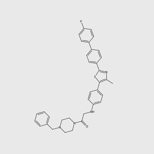 Cc1nc(-c2ccc(-c3ccc(F)cc3)cc2)sc1-c1ccc(NCC(=O)N2CCN(Cc3ccccc3)CC2)cc1